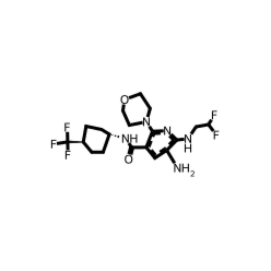 Nc1cc(C(=O)N[C@H]2CC[C@H](C(F)(F)F)CC2)c(N2CCOCC2)nc1NCC(F)F